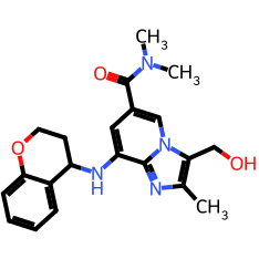 Cc1nc2c(NC3CCOc4ccccc43)cc(C(=O)N(C)C)cn2c1CO